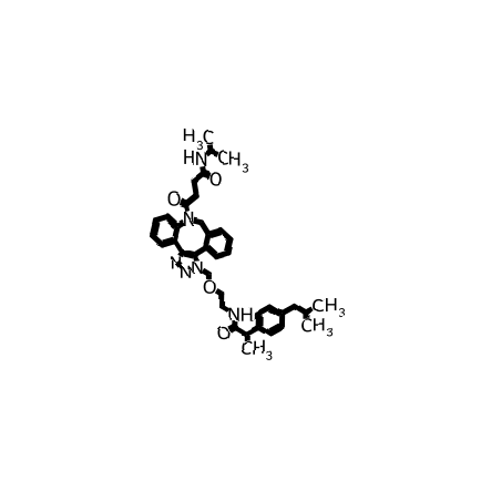 CC(C)Cc1ccc(C(C)C(=O)NCCOCn2nnc3c2-c2ccccc2CN(C(=O)CCC(=O)NC(C)C)c2ccccc2-3)cc1